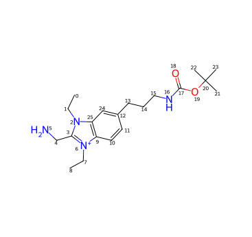 CCn1c(CN)[n+](CC)c2ccc(CCCNC(=O)OC(C)(C)C)cc21